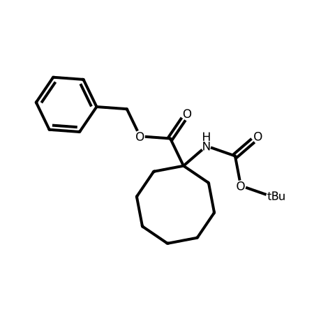 CC(C)(C)OC(=O)NC1(C(=O)OCc2ccccc2)CCCCCCC1